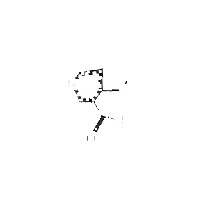 O=C(Cl)c1cnccc1SC(F)(F)F